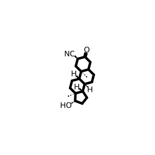 C[C@]12CC[C@H]3[C@@H](CCC4CC(=O)[C@H](C#N)C[C@@]43C)[C@@H]1CC[C@@H]2O